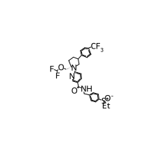 CC[S+]([O-])c1ccc(CNC(=O)c2ccc(N3CC(c4ccc(C(F)(F)F)cc4)CC[C@H]3COC(F)F)nc2)cc1